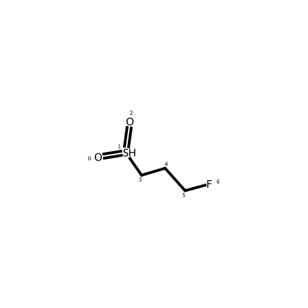 O=[SH](=O)CCCF